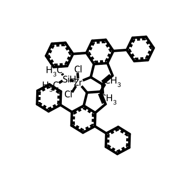 CC1=Cc2c(-c3ccccc3)ccc(-c3ccccc3)c2[CH]1[Zr]([Cl])([Cl])([CH]1C(C)=Cc2c(-c3ccccc3)ccc(-c3ccccc3)c21)[SiH](C)C